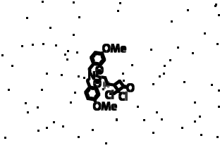 COc1ccc(CN(Cc2ccc(OC)cc2)S(=O)(=O)C[C@@H](C)C2CC(=O)C2(Cl)Cl)cc1